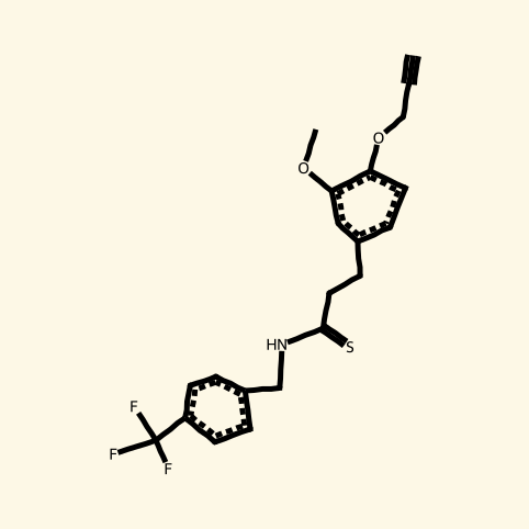 C#CCOc1ccc(CCC(=S)NCc2ccc(C(F)(F)F)cc2)cc1OC